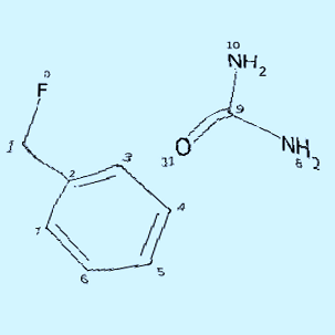 FCc1ccccc1.NC(N)=O